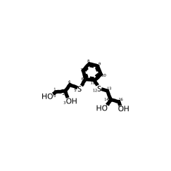 OCC(O)CSc1ccccc1SCC(O)CO